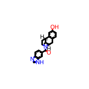 CC1[C@H]2Cc3ccc(O)cc3[C@@H]1CCN2C(=O)c1ccc2nc[nH]c2c1